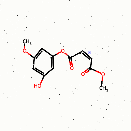 COC(=O)/C=C\C(=O)Oc1cc(O)cc(OC)c1